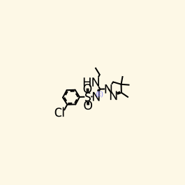 CCN/C(=N\S(=O)(=O)c1cccc(Cl)c1)N1CC(C)(C)C(C)=N1